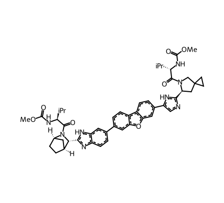 COC(=O)N[C@H](C(=O)N1CC2(CC2)C[C@H]1c1ncc(-c2ccc3c(c2)oc2cc(-c4ccc5nc([C@@H]6[C@H]7CC[C@H](C7)N6C(=O)[C@@H](NC(=O)OC)C(C)C)[nH]c5c4)ccc23)[nH]1)C(C)C